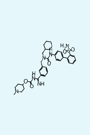 CN1CCC(OC(=O)NC(=N)c2cccc(CN(CC3CCCCC3)C(=O)Nc3ccc(-c4ccccc4S(N)(=O)=O)cc3)c2)CC1